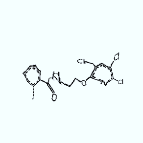 O=C(NCCOc1nc(Cl)c(Cl)cc1Cl)c1ccccc1I